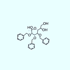 C[C@]1(O)O[C@H]([C@H](O)CO)[C@@H](OCc2ccccc2)[C@H](OCc2ccccc2)[C@H]1OCc1ccccc1